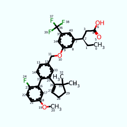 CC[C@H](CC(=O)O)c1cc(OCc2ccc(-c3cc(OC)ccc3F)c(C3=CCCC3(C)C)c2)cc(C(F)(F)F)c1